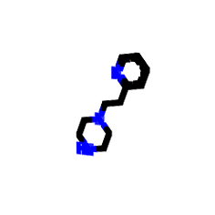 c1ccc(CCN2CCNCC2)nc1